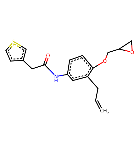 C=CCc1cc(NC(=O)Cc2ccsc2)ccc1OCC1CO1